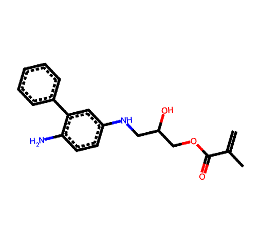 C=C(C)C(=O)OCC(O)CNc1ccc(N)c(-c2ccccc2)c1